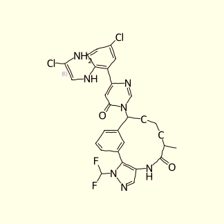 CC1CCCC(n2cnc(-c3cc(Cl)ccc3N/C=C(\N)Cl)cc2=O)c2cccc(c2)-c2c(cnn2C(F)F)NC1=O